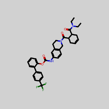 CCN(CC)C(=O)C1CC=CCC1C(=O)N1CCc2cc(NC(=O)Oc3ccccc3-c3ccc(C(F)(F)F)cc3)ccc2C1